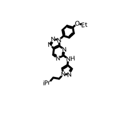 CCOc1ccc(-n2nnc3cnc(Nc4cnn(CCC(C)C)c4)nc32)cc1